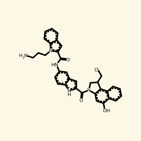 NCCCn1c(C(=O)Nc2ccc3[nH]c(C(=O)N4CC(CCl)c5c4cc(O)c4ccccc54)cc3c2)cc2ccccc21